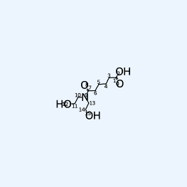 O=C(O)CCCCC(=O)N(CCO)CCO